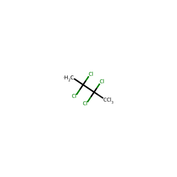 [CH2]C(Cl)(Cl)C(Cl)(Cl)C(Cl)(Cl)Cl